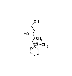 C[SiH](C)C1(CCC(O)CCO)CCCCO1